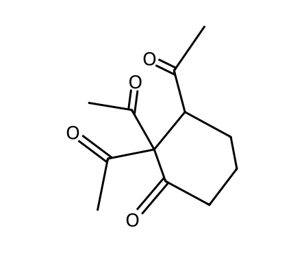 CC(=O)C1CCCC(=O)C1(C(C)=O)C(C)=O